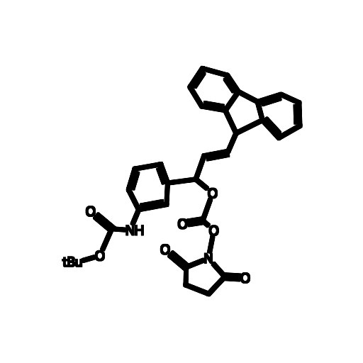 CC(C)(C)OC(=O)Nc1cccc(C(/C=C/C2c3ccccc3-c3ccccc32)OC(=O)ON2C(=O)CCC2=O)c1